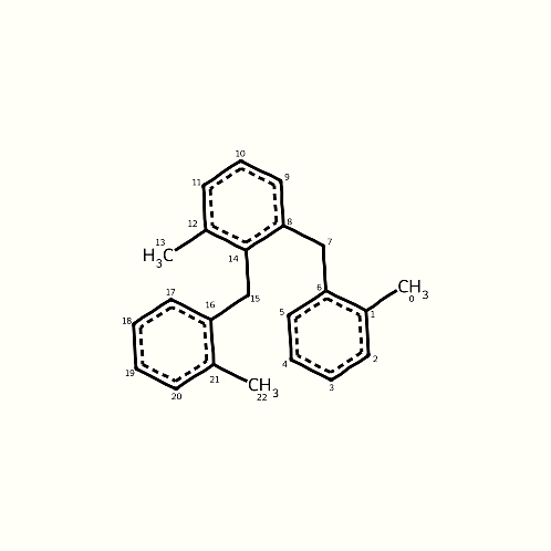 Cc1ccccc1Cc1cccc(C)c1Cc1ccccc1C